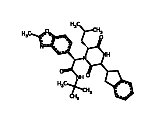 Cc1nc2cc([C@H](C(=O)NC(C)(C)C)N3C(=O)C(C4Cc5ccccc5C4)NC(=O)[C@H]3CC(C)C)ccc2o1